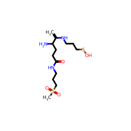 C=C(NCCCSO)C(N)CCC(=O)NCCCS(C)(=O)=O